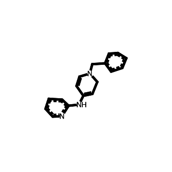 C1=CN(Cc2ccccc2)CC=C1Nc1ccccn1